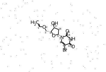 C=COC[C@H]1O[C@@H](n2cc(Br)c(=O)[nH]c2=O)C[C@@H]1O